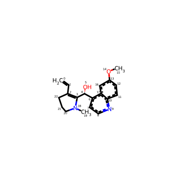 C=CC1=C([C@H](O)c2ccnc3ccc(OC)cc23)N(C)CCC1